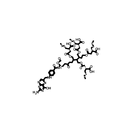 CSSC[C@H](CC(=O)OCCC(COC(=O)C[C@@H](CSSC)C(=O)O)C(COC(=O)C[C@@H](CSSC)C(=O)O)C(CCC(=O)CC[C@H](NC(=O)c1ccc(NCc2cnc3nc(N)nc(O)c3n2)cc1)OC=O)COC(=O)C[C@@H](CSSC)C(=O)O)C(=O)O